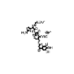 Nc1nc(/C(=N/OCC(=O)[O-])C(=O)N[C@@H]2C(=O)N3C(C(=O)[O-])=C(CSc4cc(=O)c5cc(O)c(O)c(Cl)c5s4)CS[C@@H]23)cs1.[Na+].[Na+]